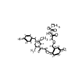 C[C@@H]1CN(Cc2ccc(F)cc2)[C@@H](C)CN1C(=O)COc1ccc(Cl)cc1COCC(=O)NS(C)(=O)=O